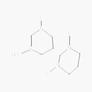 CCN1CCCN(C)C1.CCN1CCCN(CC)C1